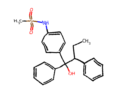 CCC(c1ccccc1)C(O)(c1ccccc1)c1ccc(NS(C)(=O)=O)cc1